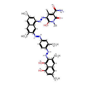 CCn1c(O)c(/N=N/c2cc(S(=O)(=O)O)cc3cc(S(=O)(=O)O)c(/N=N/c4ccc(/N=N/c5c(S(=O)(=O)O)cc6cc(S(=O)(=O)O)cc(O)c6c5O)c(C(=O)O)c4)cc23)c(C)c(C(N)=O)c1=O